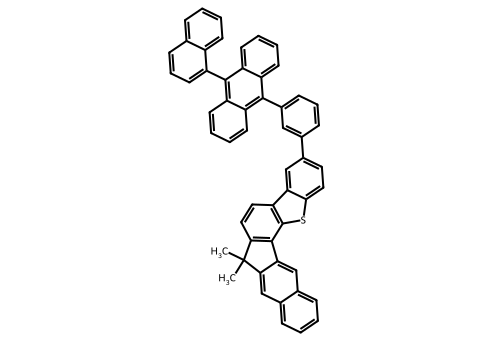 CC1(C)c2cc3ccccc3cc2-c2c1ccc1c2sc2ccc(-c3cccc(-c4c5ccccc5c(-c5cccc6ccccc56)c5ccccc45)c3)cc21